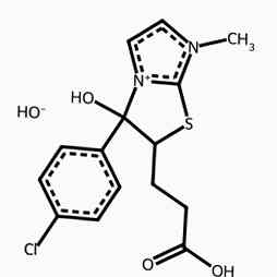 Cn1cc[n+]2c1SC(CCC(=O)O)C2(O)c1ccc(Cl)cc1.[OH-]